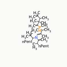 C=C(C)C(CCCCC)N(/C=C(\C)C(C)[PH](C)(C)C(=C)C(C)(C)C(C)C(=C)C)C(=C)C(C)CCCCC